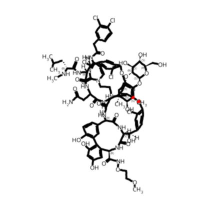 CN[C@H](CC(C)C)C(=O)N[C@H]1C(=O)NC(CC(N)=O)C(=O)NC2C(=O)N[C@H]3C(=O)N[C@H](C(=O)N[C@@H](C(=O)NOCCOC)c4cc(O)cc(O)c4-c4cc3ccc4O)[C@H](O)c3ccc(c(Cl)c3)Oc3cc2cc(c3O[C@@H]2O[C@H](CO)[C@@H](O)[C@H](O)[C@H]2O[C@H]2C[C@](C)(NCCn3ccc(NC(=O)Cc4ccc(Cl)c(Cl)c4)nc3=O)[C@H](O)[C@H](C)O2)Oc2ccc(cc2Cl)[C@H]1O